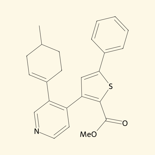 COC(=O)c1sc(-c2ccccc2)cc1-c1ccncc1C1=CCC(C)CC1